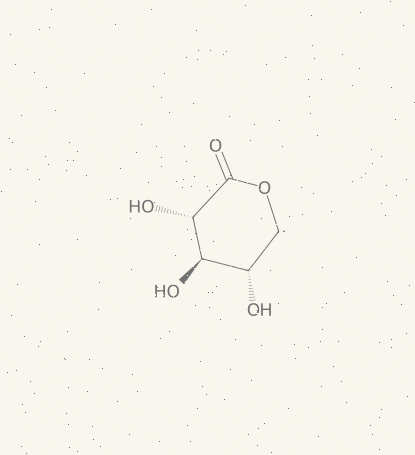 O=C1O[CH][C@H](O)[C@@H](O)[C@@H]1O